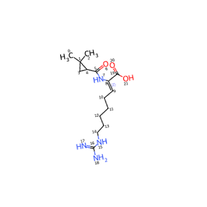 CC1(C)CC1C(=O)N/C(=C\CCCCCNC(=N)N)C(=O)O